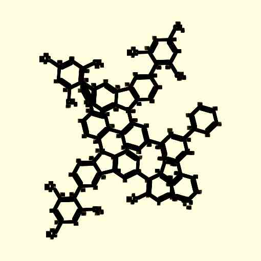 Cc1cc(C)c(-c2ccc3c(c2)c2cc(-c4c(C)cc(C)cc4C)ccc2n3-c2ccc(C#N)cc2-c2ccc(-c3nc(-c4ccccc4)nc(-c4ccccc4)n3)cc2-n2c3ccc(-c4c(C)cc(C)cc4C)cc3c3cc(-c4c(C)cc(C)cc4C)ccc32)c(C)c1